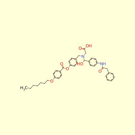 CCCCCCCOc1ccc(C(=O)Oc2ccc(CN(CC(=O)O)C(O)c3ccc(NC(=O)Cc4ccccc4)cc3)cc2)cc1